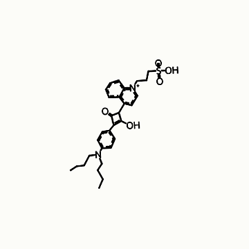 CCCCN(CCCC)c1ccc(C2=C(O)C(c3cc[n+](CCCS(=O)(=O)O)c4ccccc34)C2=O)cc1